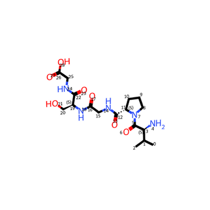 CC(C)[C@H](N)C(=O)N1CCC[C@H]1C(=O)NCC(=O)N[C@@H](CO)C(=O)NCC(=O)O